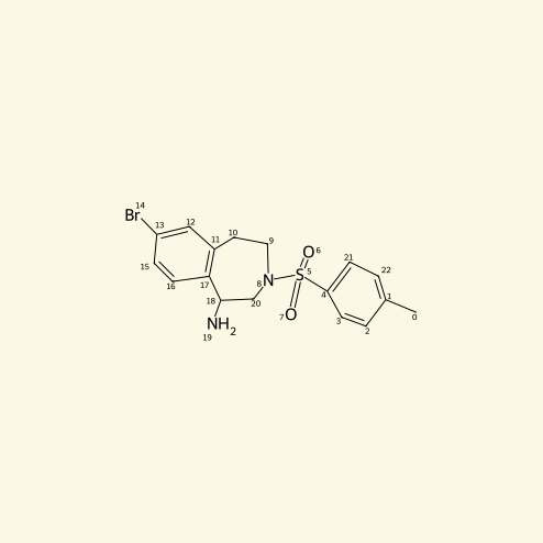 Cc1ccc(S(=O)(=O)N2CCc3cc(Br)ccc3C(N)C2)cc1